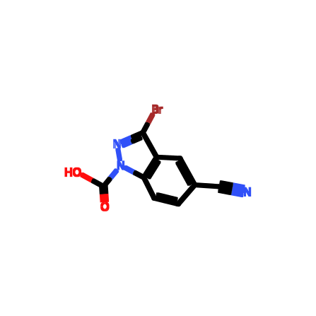 N#Cc1ccc2c(c1)c(Br)nn2C(=O)O